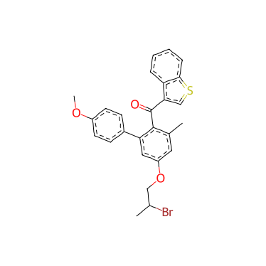 COc1ccc(-c2cc(OCC(C)Br)cc(C)c2C(=O)c2csc3ccccc23)cc1